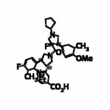 CCOC[C@H]1CN(C(=O)[C@]2(F)CN(C3CCCC3)C[C@H]2C2=CC=C(OC)C(C)C2)C[C@@H]1C1=CC=C(F)C(C)C1N1CCC(C(=O)O)CC1